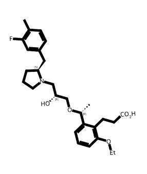 CCOc1cccc([C@@H](C)OC[C@H](O)CN2CCC[C@H]2Cc2ccc(C)c(F)c2)c1CCC(=O)O